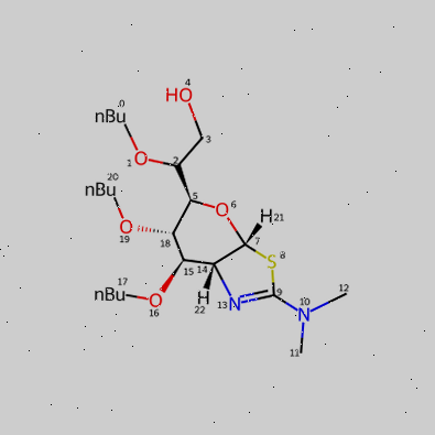 CCCCOC(CO)[C@H]1O[C@@H]2SC(N(C)C)=N[C@@H]2[C@@H](OCCCC)[C@@H]1OCCCC